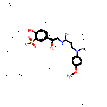 COc1ccc(N(C)CCC(C)NCC(O)c2ccc(O)c(S(C)(=O)=O)c2)cc1